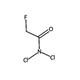 O=C(CF)N(Cl)Cl